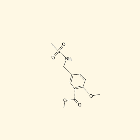 COC(=O)c1cc(CNS(C)(=O)=O)ccc1OC